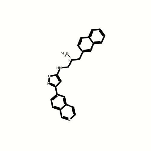 N[C@@H](CNc1cc(-c2ccc3cnccc3c2)no1)Cc1ccc2ccccc2c1